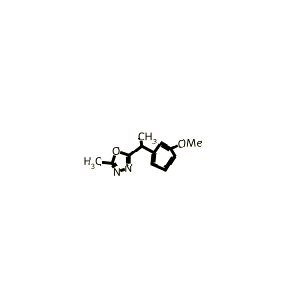 COc1cccc(C(C)c2nnc(C)o2)c1